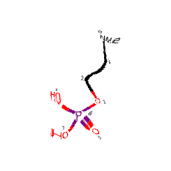 CNCCOP(=O)(O)O